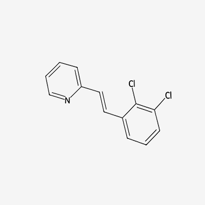 Clc1cccc(C=Cc2ccccn2)c1Cl